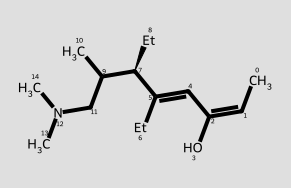 C/C=C(O)\C=C(/CC)[C@H](CC)C(C)CN(C)C